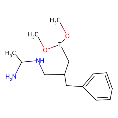 C[O][Ti]([CH2]C(CNC(C)N)Cc1ccccc1)[O]C